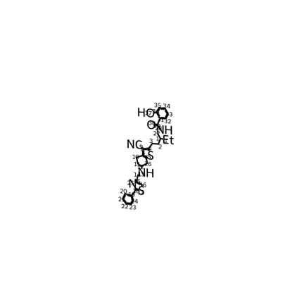 CCC(CCc1sc2c(c1C#N)CCC(NCc1csc(-c3ccccc3)n1)C2)CNC(=O)c1ccccc1O